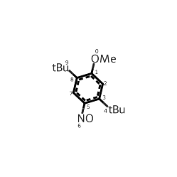 COc1cc(C(C)(C)C)c(N=O)cc1C(C)(C)C